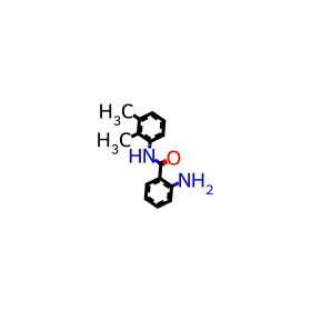 Cc1cccc(NC(=O)c2ccccc2N)c1C